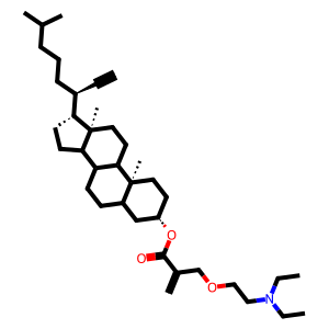 C#C[C@H](CCCC(C)C)[C@H]1CCC2C3CCC4C[C@@H](OC(=O)C(=C)COCCN(CC)CC)CC[C@]4(C)C3CC[C@@]21C